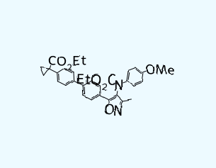 CCOC(=O)N(c1ccc(OC)cc1)c1c(C)noc1-c1ccc(-c2ccc(C3(C(=O)OCC)CC3)cc2)cc1